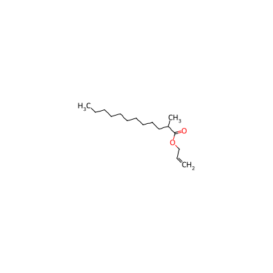 C=CCOC(=O)C(C)CCCCCCCCCC